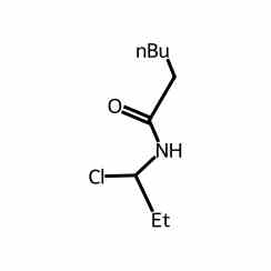 [CH2]CC(Cl)NC(=O)CCCCC